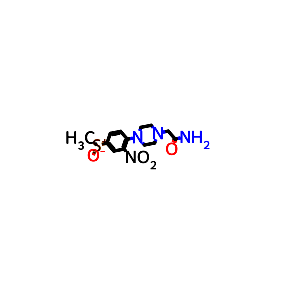 C[S+]([O-])c1ccc(N2CCN(CC(N)=O)CC2)c([N+](=O)[O-])c1